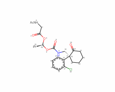 CC(=O)NCC(=O)O[C@@H](OC(=O)NC[C@@]1(c2ccccc2Cl)CCCCC1=O)C(C)C